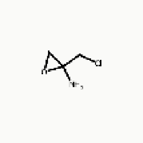 NC1(CCl)CO1